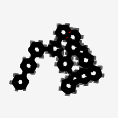 c1ccc(-c2ccc(-c3cccc(-c4nc(-c5ccccc5)nc(-c5ccc(-n6c7ccccc7c7cc8ccccc8cc76)cc5-c5cc6ccccc6c6sc7ccccc7c56)n4)c3)cc2)cc1